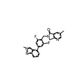 Cc1cnc2c(c1)C(=O)N(Cc1c(F)cc(-c3cccc4nn(C)cc34)cc1F)C2